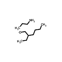 CCCCC(CC)C[O].CCCN